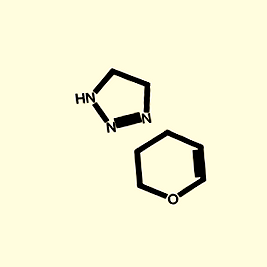 C1=COCCC1.C1CNN=N1